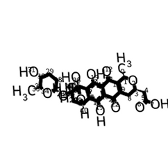 C[C@@H]1O[C@@H](CC(=O)O)CC2=C1C(=O)c1c(O)c3c(c(O)c1C2=O)[C@H]1C[C@@H](O[C@H]2CC[C@H](O)[C@H](C)O2)[C@]3(O)[C@H](C)O1